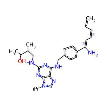 C=C/C=C\C=C(/N)c1ccc(CNc2nc(NCC(C)C(C)O)nc3c2ncn3C(C)C)cc1